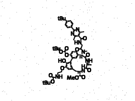 COC(=O)[C@@H]1Cc2cc(OCCNC(=O)OC(C)(C)C)c(O)c(c2)-c2cc(ccc2OC(=O)OC(C)(C)C)[C@H](N(C)C(=O)CNC(=O)c2c(C)nc(-c3ccc(C(C)(C)C)cc3)nc2C)C(=O)N[C@@H](C)C(=O)N1